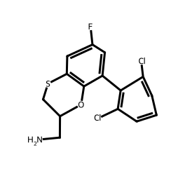 NCC1CSc2cc(F)cc(-c3c(Cl)cccc3Cl)c2O1